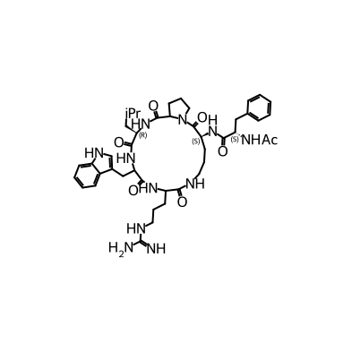 CC(=O)N[C@@H](Cc1ccccc1)C(=O)N[C@H]1CCCNC(=O)C(CCCNC(=N)N)NC(=O)C(Cc2c[nH]c3ccccc23)NC(=O)[C@@H](CC(C)C)NC(=O)C2CCCN2C1=O